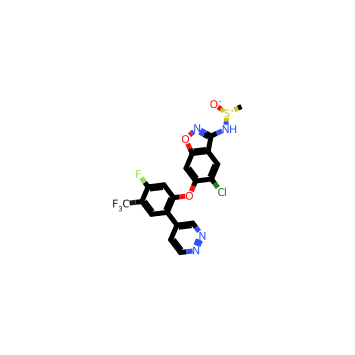 C[S+]([O-])Nc1noc2cc(Oc3cc(F)c(C(F)(F)F)cc3-c3ccnnc3)c(Cl)cc12